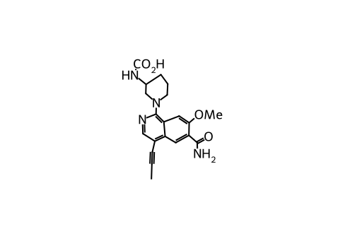 CC#Cc1cnc(N2CCCC(NC(=O)O)C2)c2cc(OC)c(C(N)=O)cc12